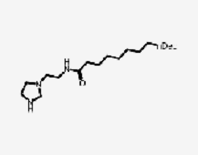 CCCCCCCCCCCCCCCCCC(=O)NCCN1CCNC1